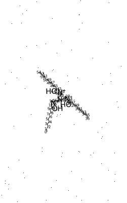 CCCCCCCCCCC(O)C[N+](C)(C)CCN(CC[N+](C)(C)CC(O)CCCCCCCCCC)CC[N+](C)(C)CC(O)CCCCCCCCCC